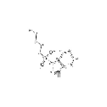 CCCCCS(=O)(=O)c1c[nH]c2ccccc12